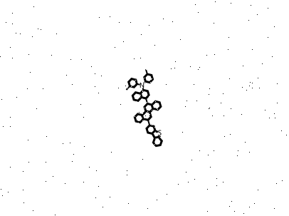 Cc1cccc(N(c2cccc(C)c2)c2ccc(-c3cc4c5ccccc5c(-c5ccc6c(c5)sc5ccccc56)cc4c4ccccc34)c3ccccc23)c1